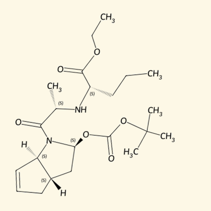 CCC[C@H](N[C@@H](C)C(=O)N1[C@@H](OC(=O)OC(C)(C)C)C[C@@H]2CC=C[C@H]21)C(=O)OCC